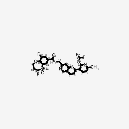 Cc1ccc(-c2ccc3cnc(CNC(=O)c4cc(F)c5c(c4)S(=O)(=O)[C@@H](F)CCO5)cc3n2)c(OC(F)F)n1